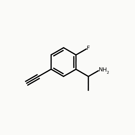 C#Cc1ccc(F)c(C(C)N)c1